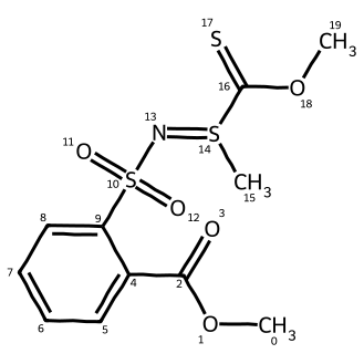 COC(=O)c1ccccc1S(=O)(=O)N=S(C)C(=S)OC